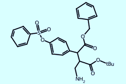 CC(C)(C)OC(=O)C(CN)C(C(=O)OCc1ccccc1)c1ccc(OS(=O)(=O)c2ccccc2)cc1